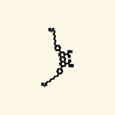 CCCCCCCc1ccc(-c2cc(C(=O)O)c3cc4c(C(=O)O)cc(-c5ccc(CCCCCCC)cc5)nc4cc3n2)cc1